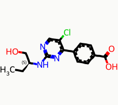 CC[C@@H](CO)Nc1ncc(Cl)c(-c2ccc(C(=O)O)cc2)n1